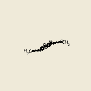 CCCCCCCOc1ccc(C(=O)Oc2ccc(C(=O)OCCCCCCOC)cc2)cc1